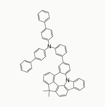 CC1(C)c2cccc3c2-c2c1ccc1c4ccccc4n(c21)-c1ccc(-c2cccc(N(c4ccc(-c5ccccc5)cc4)c4ccc(-c5ccccc5)cc4)c2)cc1-3